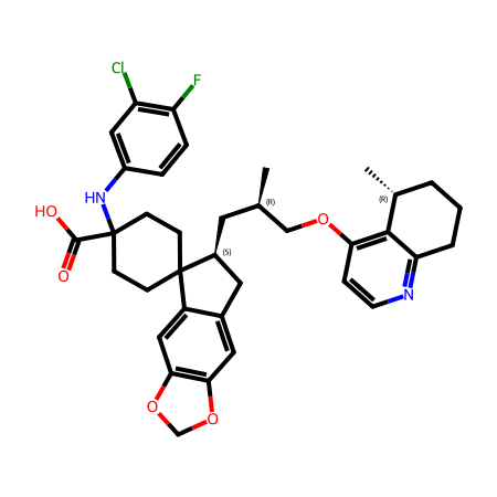 C[C@@H](COc1ccnc2c1[C@H](C)CCC2)C[C@H]1Cc2cc3c(cc2C12CCC(Nc1ccc(F)c(Cl)c1)(C(=O)O)CC2)OCO3